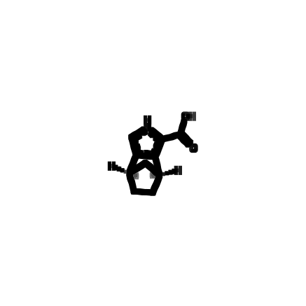 O=C(O)c1[nH]cc2c1[C@H]1CC[C@@H]2C1